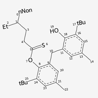 CCCCCCCCCC(CC)CCC(=S)Oc1c(Cc2cc(C)cc(C(C)(C)C)c2O)cc(C)cc1C(C)(C)C